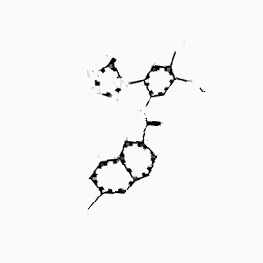 COc1cc(NC(=O)c2ccc3cc(C)ccc3c2)c(-n2nn[nH]c2=O)cc1Cl